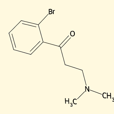 CN(C)CCC(=O)c1ccccc1Br